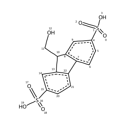 O=S(=O)(O)c1ccc2c(c1)C(CO)c1cc(S(=O)(=O)O)ccc1-2